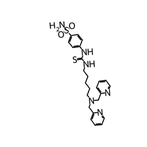 NS(=O)(=O)c1ccc(NC(=S)NCCCCCN(Cc2ccccn2)Cc2ccccn2)cc1